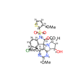 COc1ncc(C2(N3C[C@H](O)C[C@H]3C(=O)O)C(=O)N(S(=O)(=O)c3sccc3OC)c3ccc(Cl)cc32)c(OC)n1